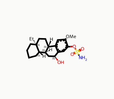 CC[C@@]12CCCC[C@H]1[C@@H]1C[C@H](O)c3cc(OS(N)(=O)=O)c(OC)cc3[C@H]1CC2